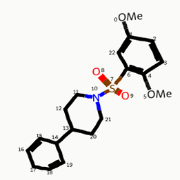 COc1ccc(OC)c(S(=O)(=O)N2CCC(C3C=CCC=C3)CC2)c1